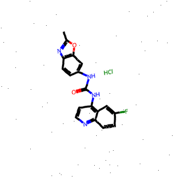 Cc1nc2ccc(NC(=O)Nc3ccnc4ccc(F)cc34)cc2o1.Cl